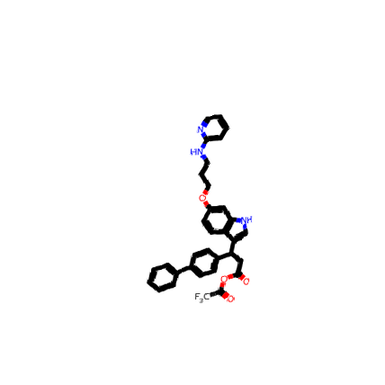 O=C(CC(c1ccc(-c2ccccc2)cc1)c1c[nH]c2cc(OCCCNc3ccccn3)ccc12)OC(=O)C(F)(F)F